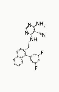 N#Cc1c(N)ncnc1NCCc1ccc2ccccc2c1-c1cc(F)cc(F)c1